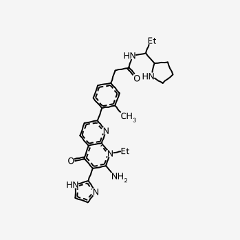 CCC(NC(=O)Cc1ccc(-c2ccc3c(=O)c(-c4ncc[nH]4)c(N)n(CC)c3n2)c(C)c1)C1CCCN1